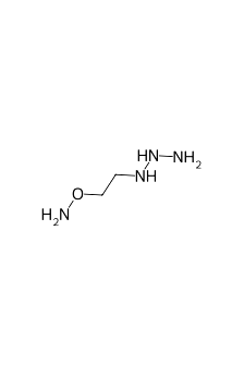 NNNCCON